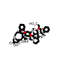 CC[C@]1(O)C[C@@H]2CN(CCc3c([nH]c4ccccc34)[C@@](C(=O)OC)(c3cc4c(cc3OC)N(C)C3[C@]45CCN4CC=C[C@@](CC)([C@@H](O[Si](C)(CCCCC(=O)O)c6ccccc6)[C@]3(O)C(=O)OC)[C@H]45)C2)C1